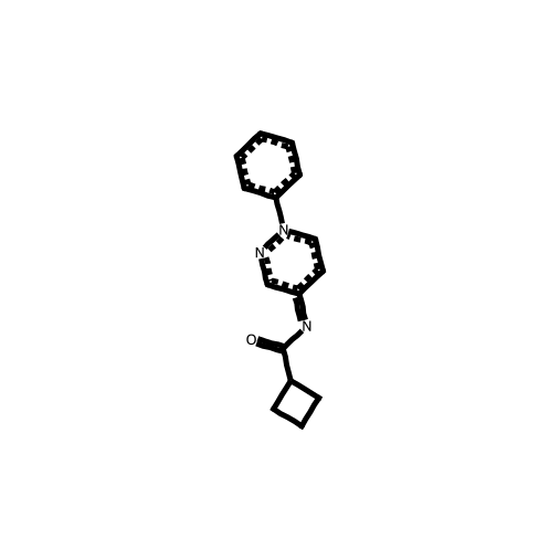 O=C(N=c1ccn(-c2ccccc2)nc1)C1CCC1